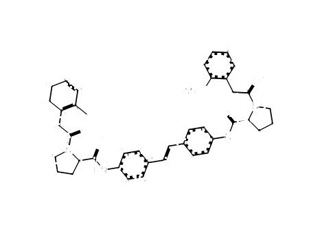 COc1ccccc1CC(=O)N1CCC[C@H]1C(=O)Nc1ccc(/C=C/c2ccc(NC(=O)C3CCCN3C(=O)CC3=C(C)C=CCC3)cc2)cc1